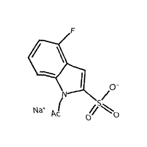 CC(=O)n1c(S(=O)(=O)[O-])cc2c(F)cccc21.[Na+]